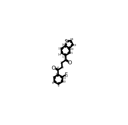 O=C(CCC(=O)c1ccccc1F)c1ccc2sccc2c1